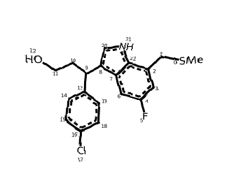 CSCc1cc(F)cc2c(C(CCO)c3ccc(Cl)cc3)c[nH]c12